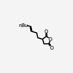 CCCCC=CCCC1CC(=O)OC1=O